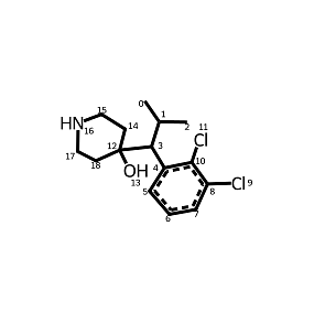 CC(C)C(c1cccc(Cl)c1Cl)C1(O)CCNCC1